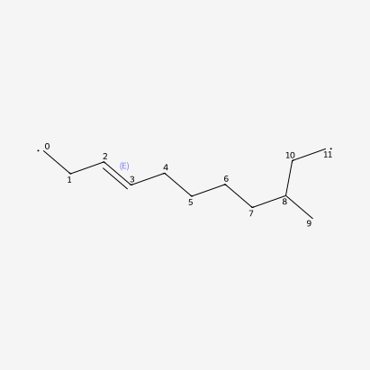 [CH2]C/C=C/CCCCC(C)C[CH2]